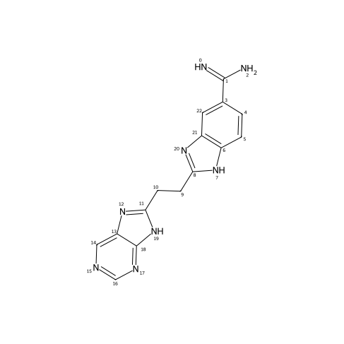 N=C(N)c1ccc2[nH]c(CCc3nc4cncnc4[nH]3)nc2c1